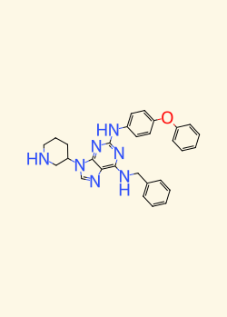 c1ccc(CNc2nc(Nc3ccc(Oc4ccccc4)cc3)nc3c2ncn3C2CCCNC2)cc1